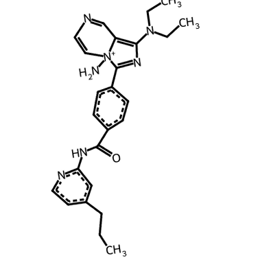 CCCc1ccnc(NC(=O)c2ccc(C3=NC(N(CC)CC)=C4C=NC=C[N+]34N)cc2)c1